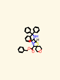 O=C(OCc1ccccc1)C1N2C(=O)C(NC(c3ccccc3)(c3ccccc3)c3ccccc3)[C@@H]2SC12CCOCC2